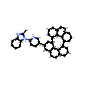 Cc1nc2ccccc2n1-c1ccc(-c2cc3ccc4cccc5c6cccc7ccc8cccc(c(c2)c3c45)c8c76)cn1